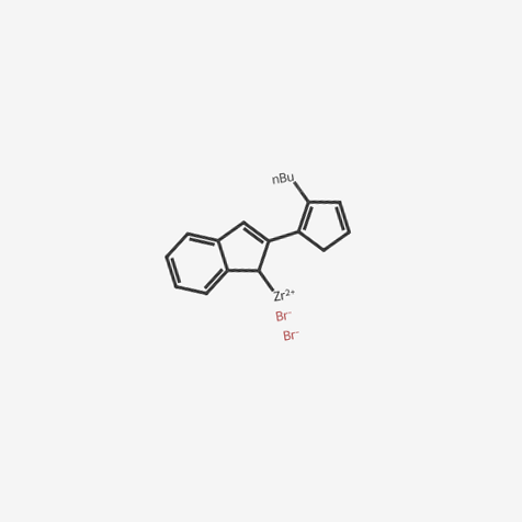 CCCCC1=C(C2=Cc3ccccc3[CH]2[Zr+2])CC=C1.[Br-].[Br-]